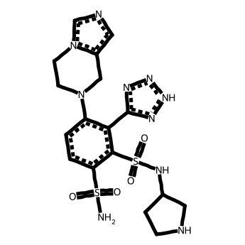 NS(=O)(=O)c1ccc(N2CCn3cncc3C2)c(-c2nn[nH]n2)c1S(=O)(=O)NC1CCNC1